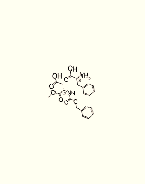 COC(=O)[C@H](CC(=O)O)NC(=O)OCc1ccccc1.N[C@@H](Cc1ccccc1)C(=O)O